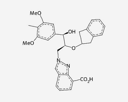 COc1cc([C@@H](O)[C@H](Cn2cc3cccc(C(=O)O)c3n2)OC2Cc3ccccc3C2)cc(OC)c1C